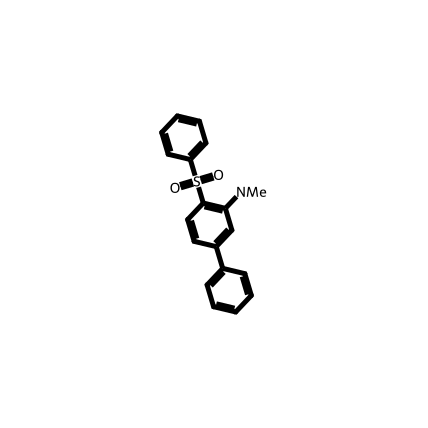 CNc1cc(-c2ccccc2)ccc1S(=O)(=O)c1ccccc1